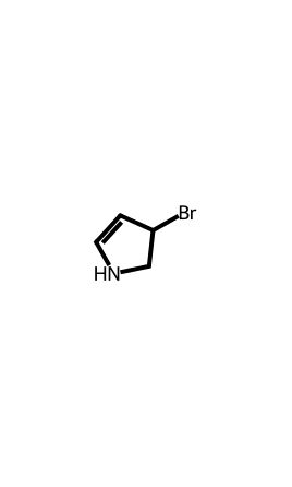 BrC1C=CNC1